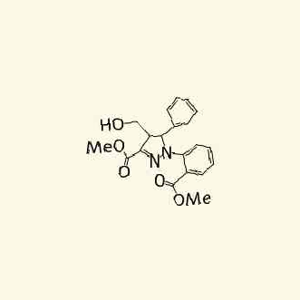 COC(=O)C1=NN(c2ccccc2C(=O)OC)C(c2ccccc2)C1CO